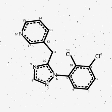 Clc1cccc(-n2ncnc2Cc2cccnc2)c1Cl